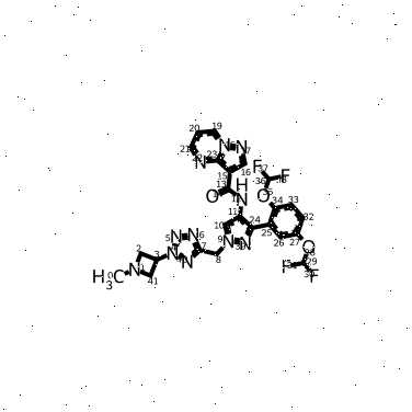 CN1CC(n2nnc(Cn3cc(NC(=O)c4cnn5cccnc45)c(-c4cc(OC(F)F)ccc4OC(F)F)n3)n2)C1